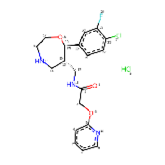 Cl.O=C(COc1ccccn1)NC[C@@H]1CNCCO[C@H]1c1ccc(Cl)c(F)c1